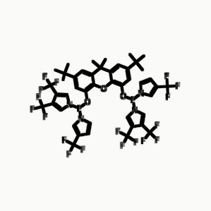 CC(C)(C)c1cc(OP(n2ccc(C(F)(F)F)c2)n2cc(C(F)(F)F)c(C(F)(F)F)c2)c2c(c1)C(C)(C)c1cc(C(C)(C)C)cc(OP(n3ccc(C(F)(F)F)c3)n3cc(C(F)(F)F)c(C(F)(F)F)c3)c1O2